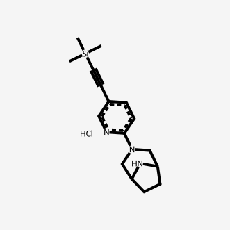 C[Si](C)(C)C#Cc1ccc(N2CC3CCC(C2)N3)nc1.Cl